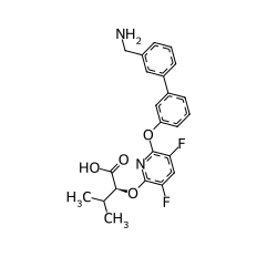 CC(C)[C@H](Oc1nc(Oc2cccc(-c3cccc(CN)c3)c2)c(F)cc1F)C(=O)O